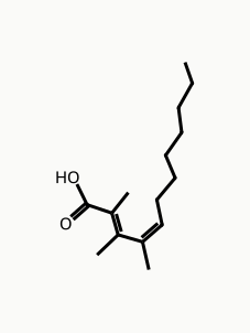 CCCCCCCC=C(C)C(C)=C(C)C(=O)O